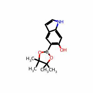 CC1(C)OB(c2cc3cc[nH]c3cc2O)OC1(C)C